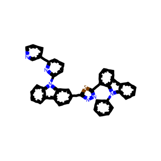 c1ccc(-n2c3ccccc3c3cccc(-c4nnc(-c5ccc6c7ccccc7n(-c7cccc(-c8cccnc8)n7)c6c5)s4)c32)cc1